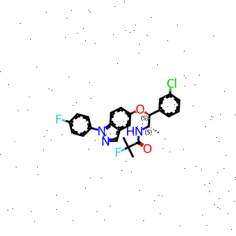 C[C@H](NC(=O)C(C)(C)F)[C@@H](Oc1ccc2c(cnn2-c2ccc(F)cc2)c1)c1cccc(Cl)c1